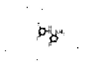 Nc1ccc(F)cc1Nc1cc(F)cc(F)c1